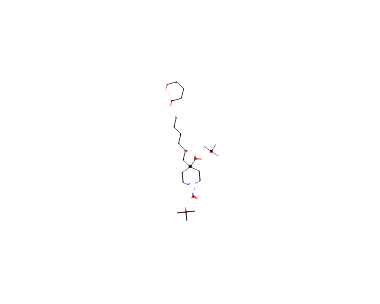 CC(C)(C)OC(=O)N1CCC(CCCCCCOC2CCCCO2)(C(=O)OC(C)(C)C)CC1